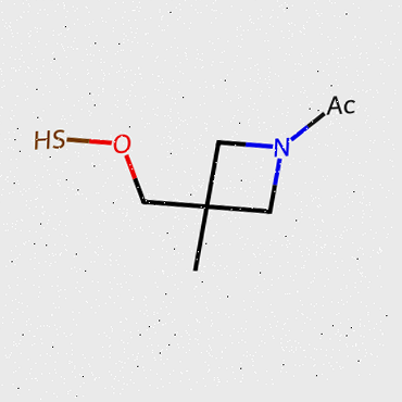 CC(=O)N1CC(C)(COS)C1